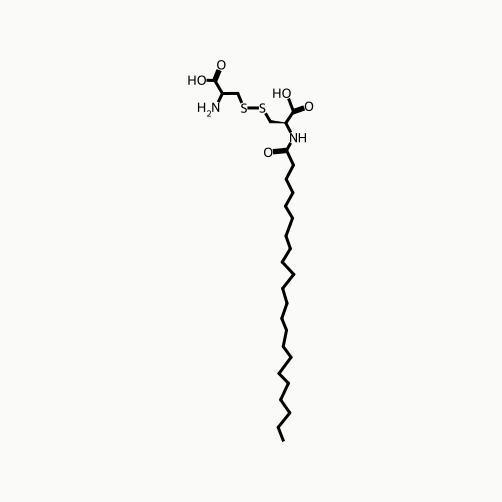 CCCCCCCCCCCCCCCCCCCCCC(=O)N[C@@H](CSSCC(N)C(=O)O)C(=O)O